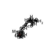 COc1cc(C(=O)NCCOCCOCCOCCC(=O)N[C@H](C(=O)N[C@@H](CCCNC(N)=O)C(=O)Nc2ccc(COC(C)=O)cc2)C(C)C)ccc1NC(=O)[C@@H]1N[C@@H](CC(C)(C)C)[C@](C#N)(c2ccc(Cl)cc2F)[C@H]1c1cccc(Cl)c1F